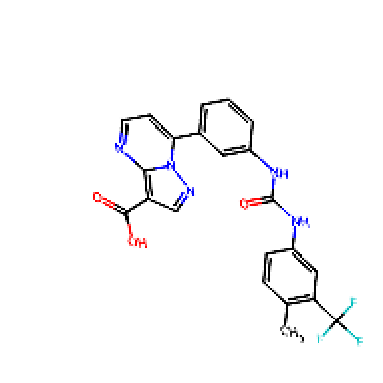 Cc1ccc(NC(=O)Nc2cccc(-c3ccnc4c(C(=O)O)cnn34)c2)cc1C(F)(F)F